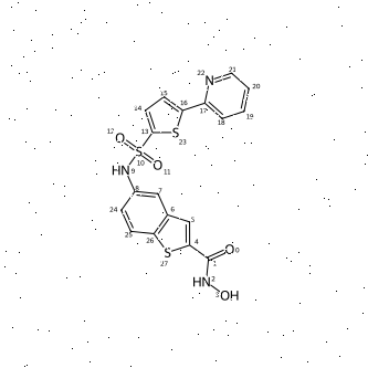 O=C(NO)c1cc2cc(NS(=O)(=O)c3ccc(-c4ccccn4)s3)ccc2s1